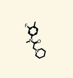 Cc1ccc(N(C)C(=O)CN2CCCCC2)cc1F